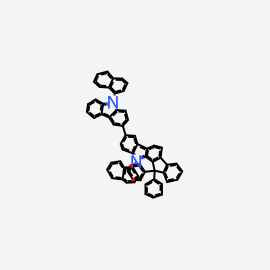 c1ccc(C2(c3ccccc3)c3ccccc3-c3ccc4c5cc(-c6ccc7c(c6)c6ccccc6n7-c6cccc7ccccc67)ccc5n(-c5cccc6ccccc56)c4c32)cc1